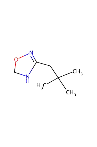 CC(C)(C)CC1=NOCN1